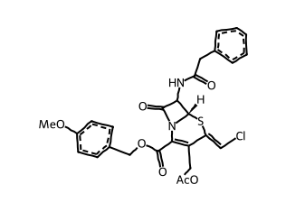 COc1ccc(COC(=O)C2=C(COC(C)=O)C(=CCl)S[C@H]3C(NC(=O)Cc4ccccc4)C(=O)N23)cc1